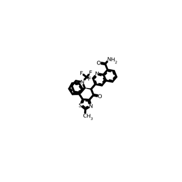 Cc1nc(C(=O)C(c2cnc3c(C(N)=O)cccc3c2)[C@H]2CCCCN2C(F)(F)F)c(-c2ccccc2)s1